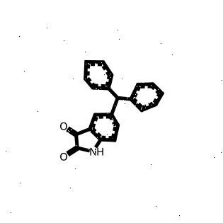 O=C1Nc2ccc(C(c3ccccc3)c3ccccc3)cc2C1=O